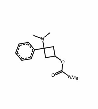 CNC(=O)OC1CC(c2ccccc2)(N(C)C)C1